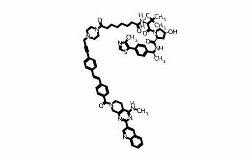 CNc1nc(-c2cnc3ccccc3c2)nc2c1CCN(C(=O)c1ccc(/C=C/c3ccc(C#CCN4CCN(C(=O)CCCCCCC(=O)N[C@H](C(=O)N5C[C@H](O)C[C@H]5C(=O)N[C@@H](C)c5ccc(-c6scnc6C)cc5)C(C)(C)C)CC4)cc3)cc1)C2